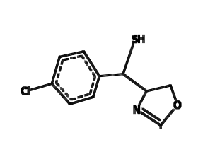 SC(c1ccc(Cl)cc1)C1CO[C]=N1